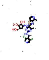 Cc1nc(N[C@H](C)c2c(F)cncc2F)nc(NC2C[C@H](CO)[C@@H](O)[C@H]2O)c1-c1nc2c(C)nccc2s1